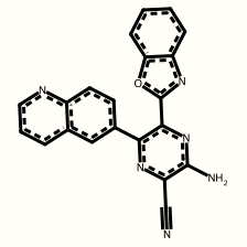 N#Cc1nc(-c2ccc3ncccc3c2)c(-c2nc3ccccc3o2)nc1N